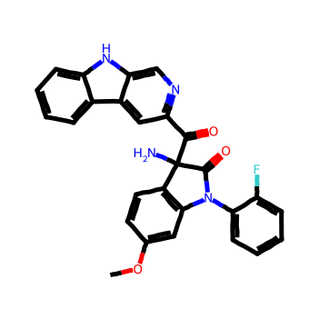 COc1ccc2c(c1)N(c1ccccc1F)C(=O)C2(N)C(=O)c1cc2c(cn1)[nH]c1ccccc12